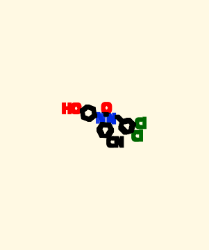 N#Cc1ccc2c(c1)n(Cc1ccc(Cl)c(Cl)c1)c(=O)n2C1CCC(O)CC1